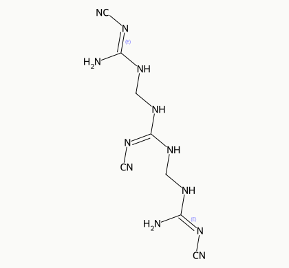 N#CN=C(NCN/C(N)=N/C#N)NCN/C(N)=N/C#N